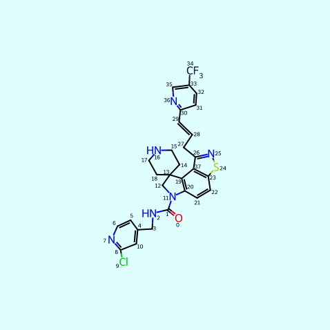 O=C(NCc1ccnc(Cl)c1)N1CC2(CCNCC2)c2c1ccc1snc(CC=Cc3ccc(C(F)(F)F)cn3)c21